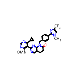 COc1ncnc(C2CC2)c1-c1ncc2c(n1)N(Cc1ccc(-c3nc(C(F)(F)F)cn3C)cc1)C(=O)CC2